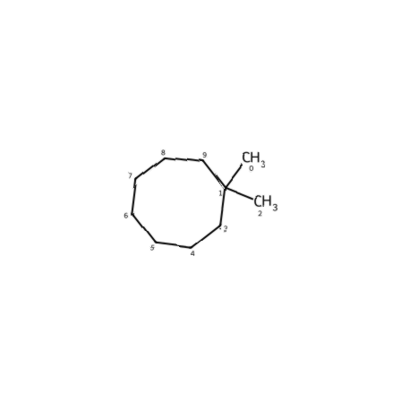 CC1(C)[CH]CCCCCC1